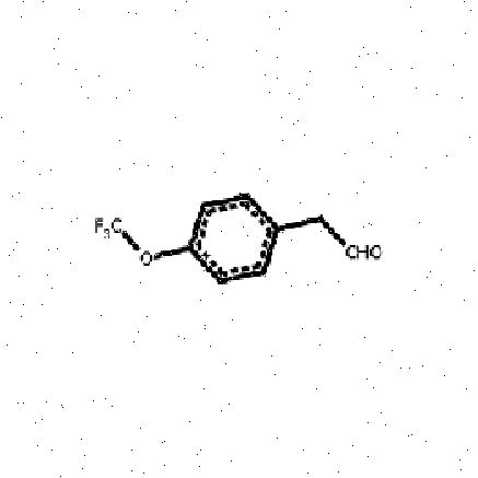 O=C[CH]c1ccc(OC(F)(F)F)cc1